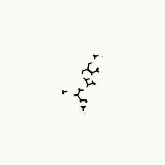 CC(=O)O/N=C(\C(=O)NC1C(=O)N2C(C(=O)O)=C(COC(=O)N(C)C)CS[C@@H]12)c1csc(N)n1